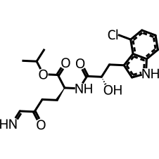 CC(C)OC(=O)[C@H](CCC(=O)C=N)NC(=O)[C@@H](O)Cc1c[nH]c2cccc(Cl)c12